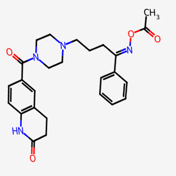 CC(=O)O/N=C(\CCCN1CCN(C(=O)c2ccc3c(c2)CCC(=O)N3)CC1)c1ccccc1